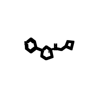 c1cc(N2CCC[C@@H](NCC3CCC3)C2)ccn1